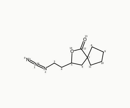 [N-]=[N+]=NCCC1CC2(CCCC2)C(=O)O1